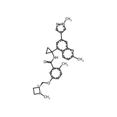 Cc1ccc2c(C3(NC(=O)c4cc(OC[C@@H]5CCN5C)ccc4C)CC3)cc(-c3cnn(C)c3)cc2n1